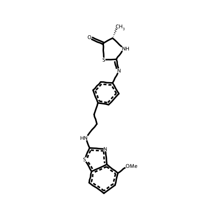 COc1cccc2sc(NCCc3ccc(/N=C4/N[C@@H](C)C(=O)S4)cc3)nc12